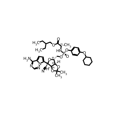 CCC(CC)COC(=O)[C@H](C)NP(=O)(OC[C@H]1O[C@@](C#N)(c2ccc3c(N)ncnn23)[C@@H]2OC(C)(C)O[C@@H]21)Oc1ccc(OC2CCCCC2)cc1